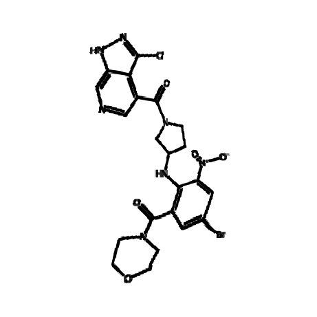 O=C(c1cc(Br)cc([N+](=O)[O-])c1NC1CCN(C(=O)c2cncc3[nH]nc(Cl)c23)C1)N1CCOCC1